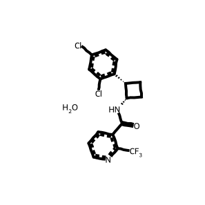 O.O=C(N[C@H]1CC[C@H]1c1ccc(Cl)cc1Cl)c1cccnc1C(F)(F)F